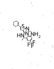 Cc1nc(N[C@H](C)c2cc(N)cc(C(F)(F)F)c2)c2cc(C3=CCCCC3)sc2n1